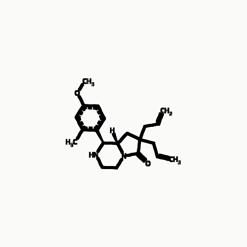 C=CCC1(CC=C)C[C@H]2[C@H](c3ccc(OC)cc3C)NCCN2C1=O